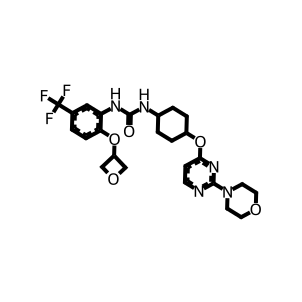 O=C(Nc1cc(C(F)(F)F)ccc1OC1COC1)NC1CCC(Oc2ccnc(N3CCOCC3)n2)CC1